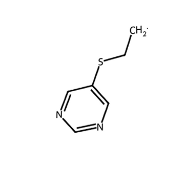 [CH2]CSc1cncnc1